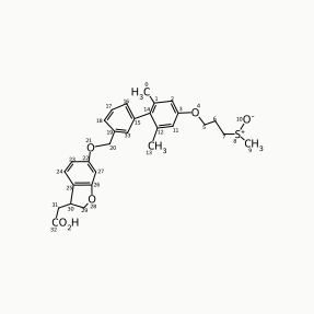 Cc1cc(OCCC[S+](C)[O-])cc(C)c1-c1cccc(COc2ccc3c(c2)OCC3CC(=O)O)c1